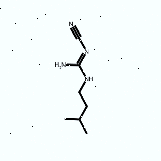 CC(C)CCN/C(N)=N/C#N